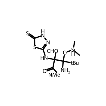 CNC(=O)C(C=O)(Nc1n[nH]c(=S)s1)C(N)(O[SiH](C)C)C(C)(C)C